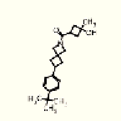 CC1(O)CC(C(=O)N2CC3(CC(c4ccc(C(C)(C)C)cc4)C3)C2)C1